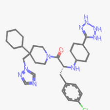 Cl.O=C([C@@H](Cc1ccc(Cl)cc1)NC1CCC(C2=NNNN2)CC1)N1CCC(Cn2cncn2)(C2CCCCC2)CC1